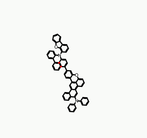 c1ccc(-c2ccccc2N(c2ccc(-c3ccc4c(c3)Oc3cccc5c3c-4cc3c4ccccc4c(N(c4ccccc4)c4ccccc4)cc53)cc2)c2cccc3c2oc2ccccc23)cc1